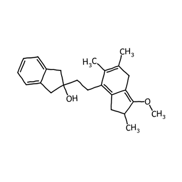 COC1=C2CC(C)=C(C)C(CCC3(O)Cc4ccccc4C3)=C2CC1C